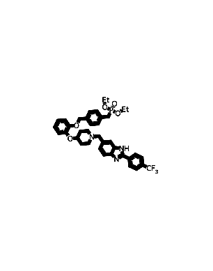 CCOP(=O)(Cc1ccc(COc2ccccc2OC2CCN(CC3=CC4NC(c5ccc(C(F)(F)F)cc5)=NC4C=C3)CC2)cc1)OCC